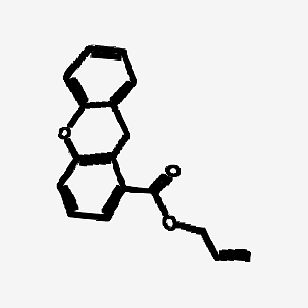 C=CCOC(=O)c1cccc2c1Cc1ccccc1O2